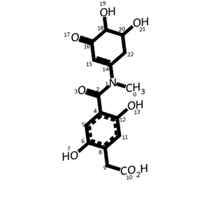 CN(C(=O)c1cc(O)c(CC(=O)O)cc1O)C1=CC(=O)C(O)C(O)C1